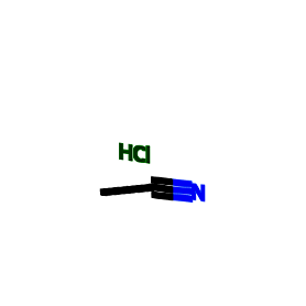 CC#N.Cl